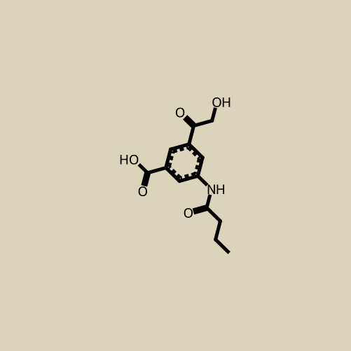 CCCC(=O)Nc1cc(C(=O)O)cc(C(=O)CO)c1